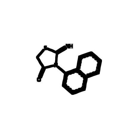 N=C1SCC(=O)N1c1cccc2ccccc12